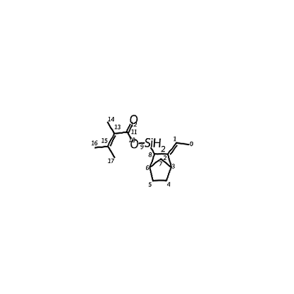 CC=C1C2CCC(C2)C1[SiH2]OC(=O)C(C)=C(C)C